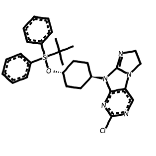 CC(C)(C)[Si](O[C@H]1CC[C@H](N2C3=NCCN3c3cnc(Cl)nc32)CC1)(c1ccccc1)c1ccccc1